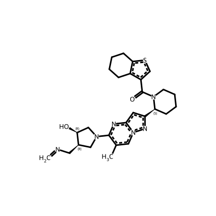 C=NC[C@@H]1CN(c2nc3cc([C@@H]4CCCCN4C(=O)c4csc5c4CCCC5)nn3cc2C)C[C@@H]1O